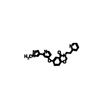 Cn1cc(-c2cc(Oc3ccc4c(c3)C(=O)N(CCc3ccccn3)CO4)ccn2)cn1